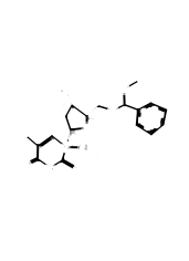 COC(OC[C@H]1O[C@@H]([N+]2(N)C=C(C)C(=O)NC2=O)C[C@@H]1O)c1ccccc1.[Br-]